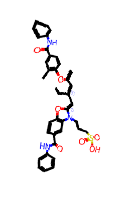 C=C(/C=C(/C=C1\Oc2ccc(C(=O)Nc3ccccc3)cc2N1CCCS(=O)(=O)O)CC)Oc1ccc(C(=O)Nc2ccccc2)cc1C